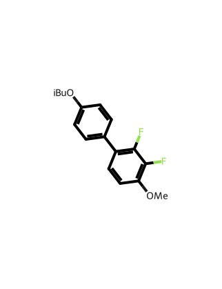 COc1ccc(-c2ccc(OCC(C)C)cc2)c(F)c1F